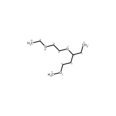 [CH2]CC(CCOC)OCCOCC